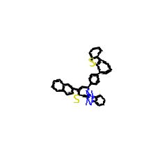 c1ccc2cc3c(cc2c1)sc1c3cc(-c2ccc(-c3cccc4c3sc3ccccc34)cc2)n2c3ccccc3nc12